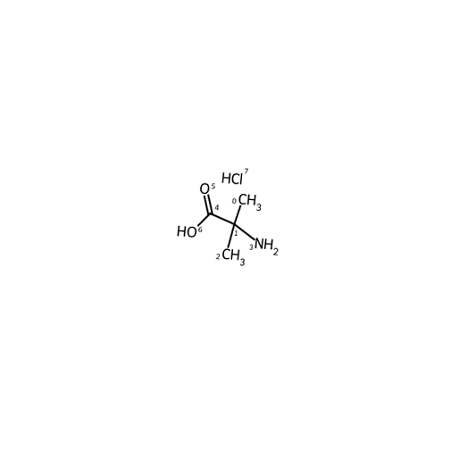 CC(C)(N)C(=O)O.Cl